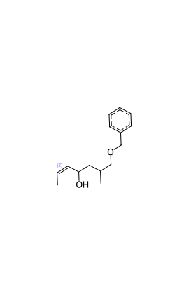 C/C=C\C(O)CC(C)COCc1ccccc1